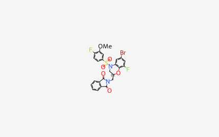 COc1cc(S(=O)(=O)N2C[C@H](CN3C(=O)c4ccccc4C3=O)Oc3c(F)cc(Br)cc32)ccc1F